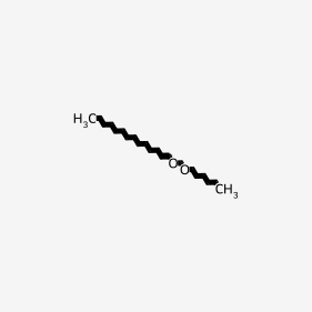 CCCCCCCCCCCCC=COCOCCCCCC